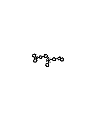 c1ccc(-c2nc(-c3ccc(-c4ccc5ccccc5c4)cc3)nc(-c3cccc(-c4ccc(-n5c6ccccc6c6ccccc65)cc4)c3)n2)cc1